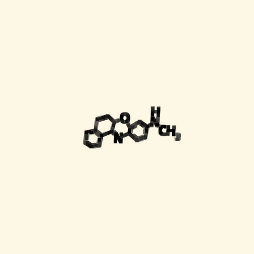 CNc1ccc2c(c1)OC1C=Cc3ccccc3C1=N2